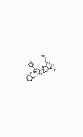 N=C(/C=C(\NCc1ccccc1F)c1ccon1)c1ncc([N+](=O)[O-])c(NCCO)n1